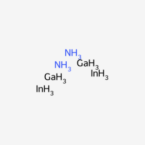 N.N.[GaH3].[GaH3].[InH3].[InH3]